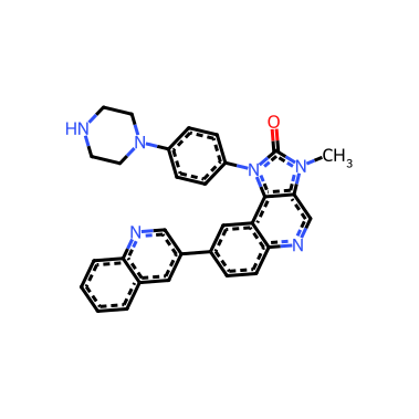 Cn1c(=O)n(-c2ccc(N3CCNCC3)cc2)c2c3cc(-c4cnc5ccccc5c4)ccc3ncc21